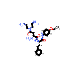 NCCN(CCN)C(=O)C[C@H](N)C(=O)N[C@@H](CCc1ccccc1)C(=O)Nc1ccc(OCC(F)(F)F)cc1